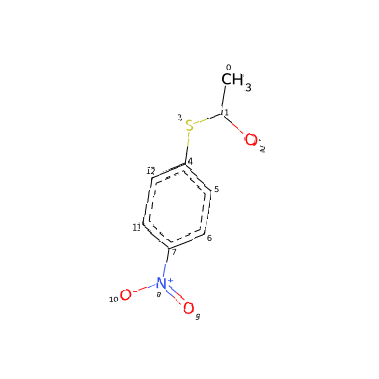 CC([O])Sc1ccc([N+](=O)[O-])cc1